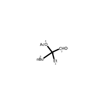 CCCCC([C]=O)(CC)OC(C)=O